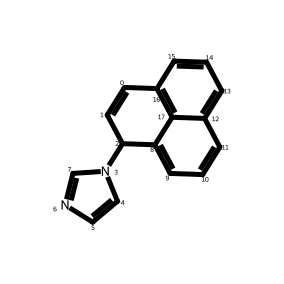 C1=CC(n2ccnc2)c2cccc3cccc1c23